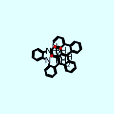 BC(B)(O)C1Nc2ccccc2N1c1ccccc1-c1c2ccccc2c(-c2ccccc2-c2cccnc2)c2ccccc12